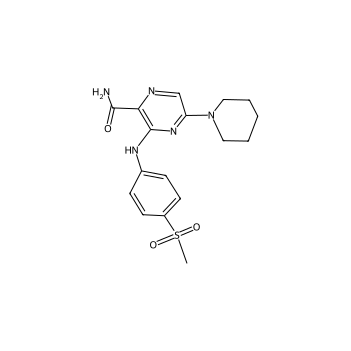 CS(=O)(=O)c1ccc(Nc2nc(N3CCCCC3)cnc2C(N)=O)cc1